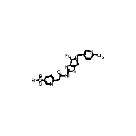 CCS(=O)(=O)c1ccc(CC(=O)Nc2nc3c(s2)CN(Cc2ccc(C(F)(F)F)nc2)C3C(C)C)nc1